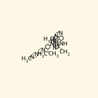 C=Cc1cnc(Nc2ccc(N3CCC(N4CCN(C)CC4)CC3)c(C(C)C)c2)nc1Nc1ccc2nccnc2c1NS(C)(=O)=O